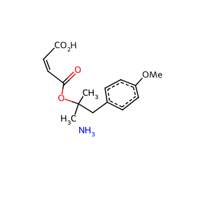 COc1ccc(CC(C)(C)OC(=O)/C=C\C(=O)O)cc1.N